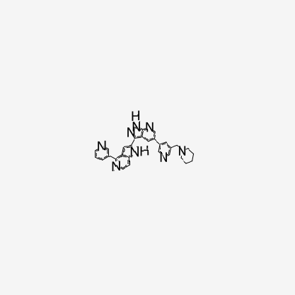 c1cncc(-c2nccc3[nH]c(-c4n[nH]c5ncc(-c6cncc(CN7CCCCC7)c6)cc45)cc23)c1